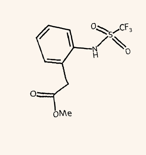 COC(=O)Cc1ccccc1NS(=O)(=O)C(F)(F)F